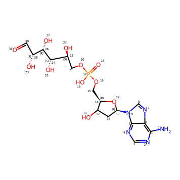 Nc1ncnc2c1ncn2[C@H]1CC(O)[C@@H](COP(=O)(O)OC[C@H](O)[C@H](O)[C@@H](O)[C@H](O)C=O)O1